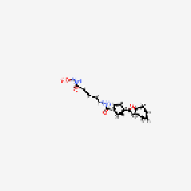 O=C(CCCCNC(=O)c1ccc(-c2cc3ccccc3o2)cc1)NO